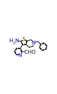 Nc1sc2c(c1-c1cccnc1C=O)CCN(Cc1ccccc1)C2